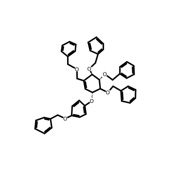 C1=C(COCc2ccccc2)[C@@H](OCc2ccccc2)[C@H](OCc2ccccc2)C(OCc2ccccc2)[C@@H]1Oc1ccc(OCc2ccccc2)cc1